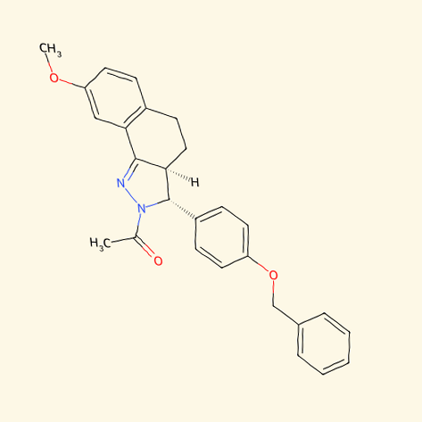 COc1ccc2c(c1)C1=NN(C(C)=O)[C@@H](c3ccc(OCc4ccccc4)cc3)[C@@H]1CC2